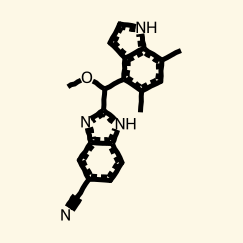 COC(c1nc2cc(C#N)ccc2[nH]1)c1c(C)cc(C)c2[nH]ccc12